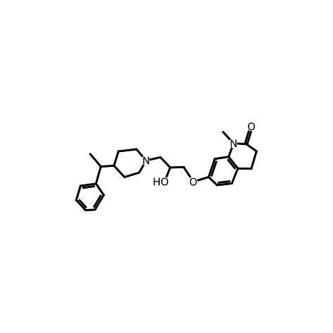 CC(c1ccccc1)C1CCN(CC(O)COc2ccc3c(c2)N(C)C(=O)CC3)CC1